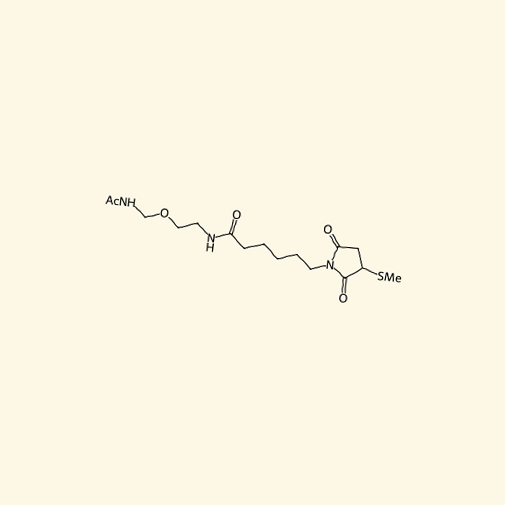 CSC1CC(=O)N(CCCCCC(=O)NCCOCNC(C)=O)C1=O